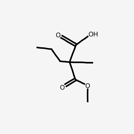 CCCC(C)(C(=O)O)C(=O)OC